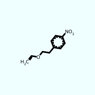 C=COCCc1ccc([N+](=O)[O-])cc1